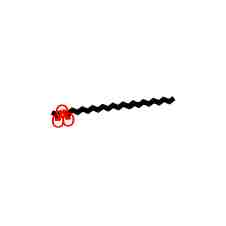 CCCCCCCCC=CCCCCCCCCCCCC(=O)OC(C)=O